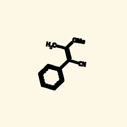 COC(C)=C(C#N)c1ccccc1